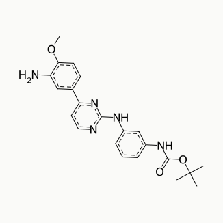 COc1ccc(-c2ccnc(Nc3cccc(NC(=O)OC(C)(C)C)c3)n2)cc1N